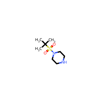 CC(C)(C)S(=O)(=O)N1CCNCC1